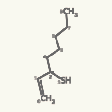 C=C[C](S)CCCCC